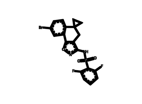 O=S(=O)(Nc1noc2c1CC1(CC1)c1ccc(Br)cc1-2)c1c(F)cccc1F